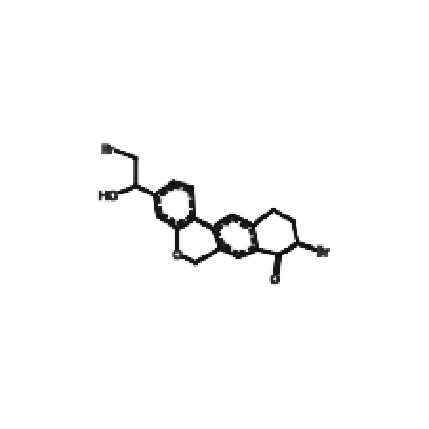 O=C1c2cc3c(cc2CCC1Br)-c1ccc(C(O)CBr)cc1OC3